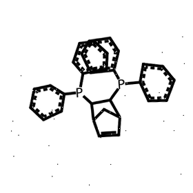 C1=CC2CC1C(P(c1ccccc1)c1ccccc1)C2P(c1ccccc1)c1ccccc1